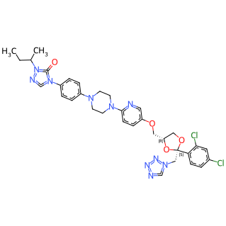 CCC(C)n1ncn(-c2ccc(N3CCN(c4ccc(OC[C@@H]5CO[C@@](Cn6cnnn6)(c6ccc(Cl)cc6Cl)O5)cn4)CC3)cc2)c1=O